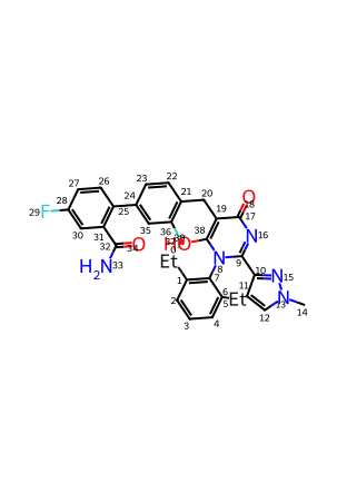 CCc1cccc(CC)c1-n1c(-c2ccn(C)n2)nc(=O)c(Cc2ccc(-c3ccc(F)cc3C(N)=O)cc2F)c1O